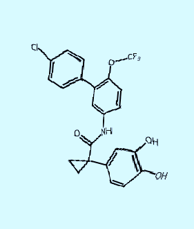 O=C(Nc1ccc(OC(F)(F)F)c(-c2ccc(Cl)cc2)c1)C1(c2ccc(O)c(O)c2)CC1